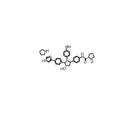 CC(C)(C)c1ccc(N2C(c3ccc(NC(=O)[C@H]4CCCN4)cc3)CCC2c2ccc(-c3c[nH]c([C@@H]4CCCN4)n3)cc2)cc1.Cl